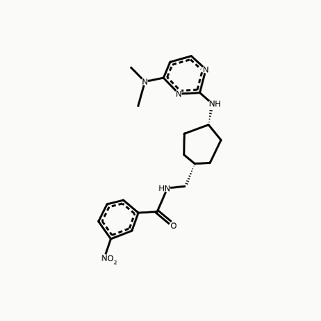 CN(C)c1ccnc(N[C@H]2CC[C@@H](CNC(=O)c3cccc([N+](=O)[O-])c3)CC2)n1